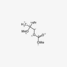 CCCC(C)(COC(=O)OC)OC